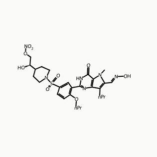 CCCOc1ccc(S(=O)(=O)N2CCC([C@@H](O)CO[N+](=O)[O-])CC2)cc1-c1nc2c(CCC)c(/C=N/O)n(C)c2c(=O)[nH]1